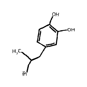 CC(C)C(C)Cc1ccc(O)c(O)c1